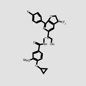 COc1cc(C(=O)NC[C@@H](CO)c2cc3c(c(-c4ccc(F)cc4)n2)OC[C@H]3C(F)(F)F)ccc1OC1CC1